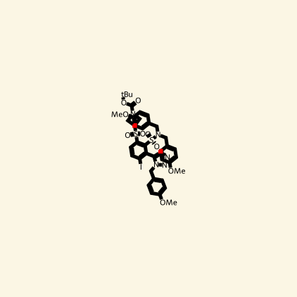 COc1ccc(CN(Cc2ccc(OC)cc2)S(=O)(=O)c2c(S(=O)(=O)C3CN(C(=O)OC(C)(C)C)C3)ccc(I)c2-c2nnnn2Cc2ccc(OC)cc2)cc1